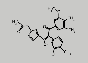 COc1cc(C(=O)c2c(-c3cnn(CC(N)=O)c3)oc3c(O)c(C)ccc23)cc(C)c1C